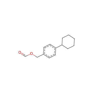 O=COCc1ccc(C2CCCCC2)cc1